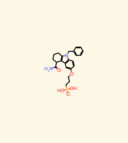 NC(=O)C1CCCc2c1c1cc(OCCCP(=O)(O)O)ccc1n2Cc1ccccc1